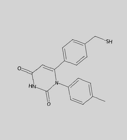 Cc1ccc(-n2c(-c3ccc(CS)cc3)cc(=O)[nH]c2=O)cc1